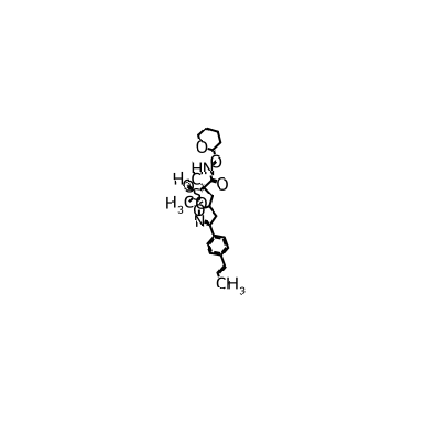 C/C=C/c1ccc(C2=NOC(C[C@](C)(C(=O)NOC3CCCCO3)S(C)(=O)=O)C2)cc1